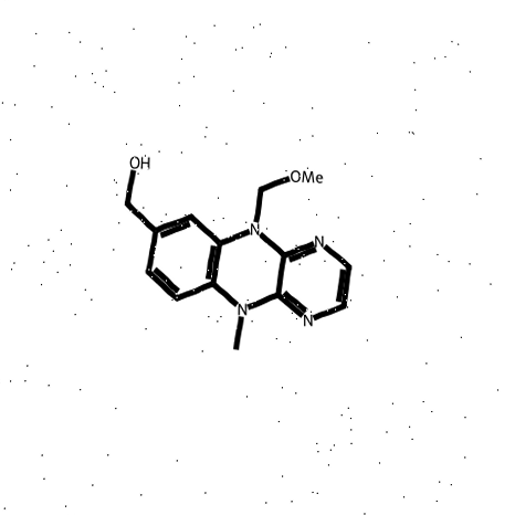 COCN1c2cc(CO)ccc2N(C)c2nccnc21